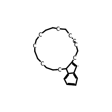 [C]1=C2CCCCCCCCCCCCCCCCCCC2c2ccccc21